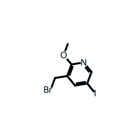 COc1ncc(I)cc1CBr